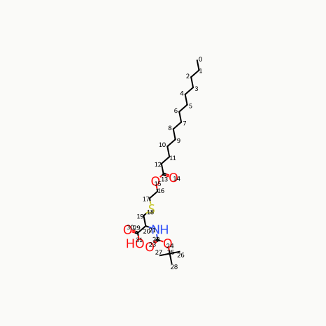 CCCCCCCCCCCCCC(=O)OCCSCC(NC(=O)OC(C)(C)C)C(=O)O